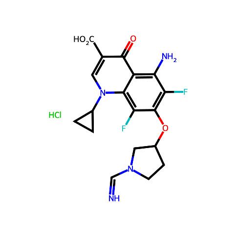 Cl.N=CN1CCC(Oc2c(F)c(N)c3c(=O)c(C(=O)O)cn(C4CC4)c3c2F)C1